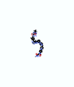 CNC(=O)CCN(C=O)c1ccc(N2CCC(CN3CCN(c4cccc(-c5cc6c(-c7ccc(CNC(=O)c8nc(C(C)(C)C)no8)c(C)c7)ncnc6[nH]5)c4)CC3)CC2)cc1